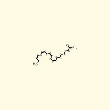 CC/C=C\C/C=C\C/C=C\C/C=C\CCCCCCC(C)=O